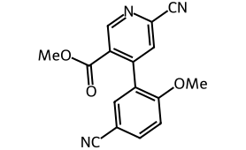 COC(=O)c1cnc(C#N)cc1-c1cc(C#N)ccc1OC